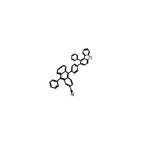 N#Cc1ccc2c(-c3ccc(-c4ccc5oc6ccccc6c5c4-c4ccccc4)cc3)c3ccccc3c(-c3ccccc3)c2c1